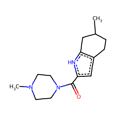 CC1CCc2cc(C(=O)N3CCN(C)CC3)[nH]c2C1